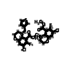 COC(=O)c1c(F)c(Cl)cc2c1N(Cc1ccsc1)CCO2.COC(=O)c1c(F)c(Cl)cc2c1NCCO2